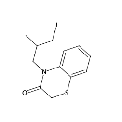 CC(CI)CN1C(=O)CSc2ccccc21